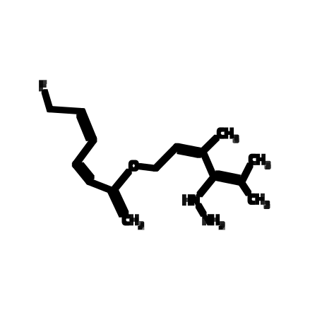 C=C(/C=C\C=C/CF)OC/C=C(/C)C(NN)=C(C)C